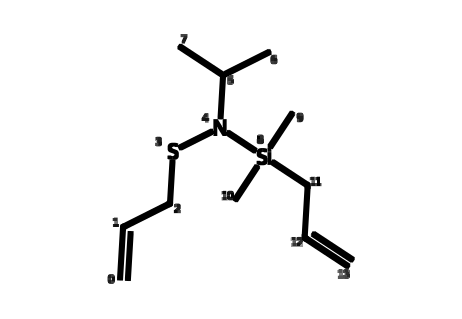 C=CCSN(C(C)C)[Si](C)(C)CC=C